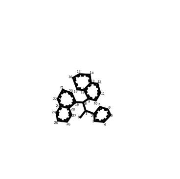 C[C](c1ccccc1)C(c1cccc2ccccc12)c1cccc2ccccc12